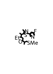 CCC(CC(=O)C(C)CSC)C(C)c1sc(-c2cncc(F)c2)nc1C